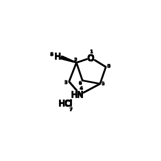 C1O[C@H]2CNC1C2.Cl